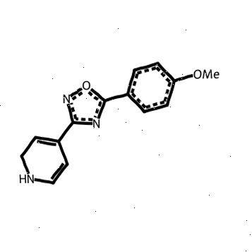 COc1ccc(-c2nc(C3=CCNC=C3)no2)cc1